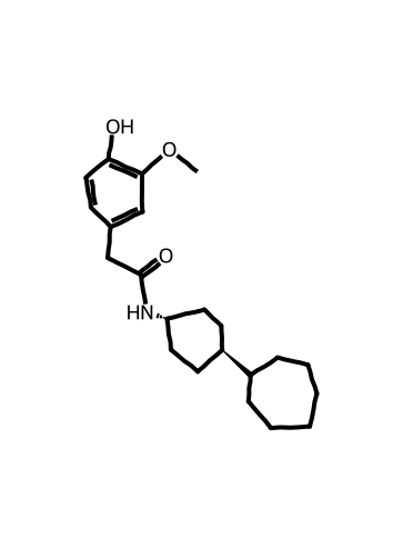 COc1cc(CC(=O)N[C@H]2CC[C@H](C3CCCCCC3)CC2)ccc1O